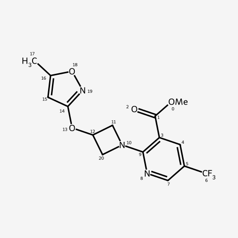 COC(=O)c1cc(C(F)(F)F)cnc1N1CC(Oc2cc(C)on2)C1